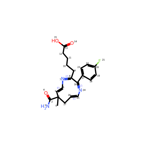 CC1(C(N)=O)/C=C/N=C(CCCCC(=O)O)\C(c2ccc(F)cc2)=N/C=C/C1